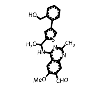 COc1cc2c(NC(C)c3cc(-c4ccccc4CO)cs3)nc(C)nc2cc1C=O